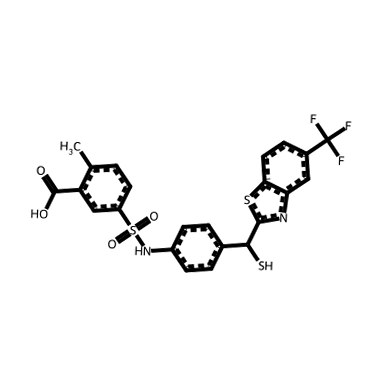 Cc1ccc(S(=O)(=O)Nc2ccc(C(S)c3nc4cc(C(F)(F)F)ccc4s3)cc2)cc1C(=O)O